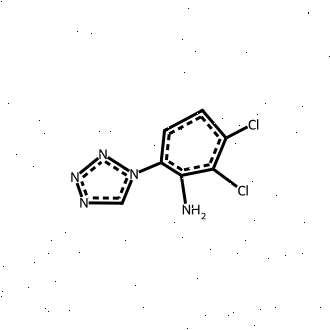 Nc1c(-n2cnnn2)ccc(Cl)c1Cl